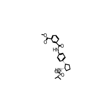 COC(=O)c1cccc(C(=O)Nc2ccc([C@@H]3CCC[C@@H]3NS(=O)(=O)C(C)C)cc2)c1